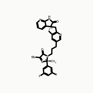 CC(C)(C)C1=N[C@@](C)(c2cc(F)cc(F)c2)N(CCCc2cnc3c(c2)C[C@@]2(C3)C(=O)Nc3ncccc32)C1=O